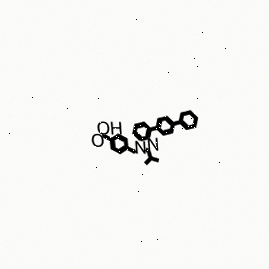 CC(C)c1nc2c(-c3ccc(C4=CCCCC4)cc3)cccc2n1Cc1ccc(C(=O)O)cc1